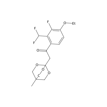 CCOc1ccc(C(=O)CC23OCC(C)(CO2)CO3)c(C(F)F)c1F